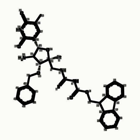 CC[C@@]1(CNC(=S)NC(=O)OCC2c3ccccc3-c3ccccc32)O[C@@H](n2cc(C)c(=O)[nH]c2=O)C(N)[C@H]1OCc1ccccc1